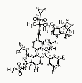 CC(C)(C#Cc1ccc(-c2ccc(Cl)c3c(NS(C)(=O)=O)nn(CC(F)F)c23)c([C@H](Cc2cc(F)cc(F)c2)NC(=O)Cn2nc(C(F)(F)F)c3c2C(F)(F)[C@@H]2CC[C@H]32)n1)S(=O)(=O)C1CC1